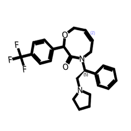 O=C1C(c2ccc(C(F)(F)F)cc2)OC/C=C\CN1[C@H](CN1CCCC1)c1ccccc1